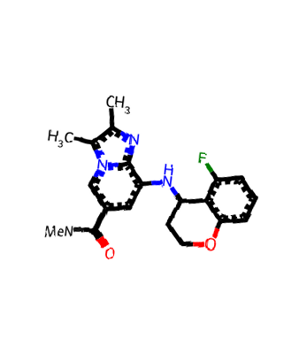 CNC(=O)c1cc(NC2CCOc3cccc(F)c32)c2nc(C)c(C)n2c1